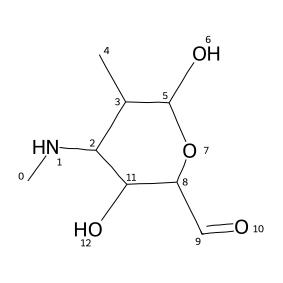 CNC1C(C)C(O)OC(C=O)C1O